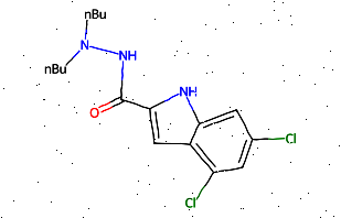 CCCCN(CCCC)NC(=O)c1cc2c(Cl)cc(Cl)cc2[nH]1